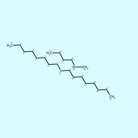 CCCCCCCCOCCCCCCCC.CCC[CH2][Sn][CH3]